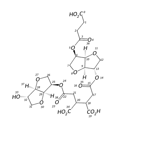 O=C(O)CCC(=O)O[C@@H]1CO[C@H]2[C@@H]1OC[C@@H]2OC(=O)CC(C(=O)O)C(CC(=O)O[C@@H]1CO[C@H]2[C@@H]1OC[C@@H]2O)C(=O)O